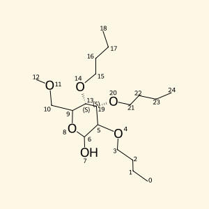 CCCCOC1C(O)OC(COC)[C@H](OCCCC)[C@@H]1OCCCC